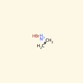 Br.C=C.N